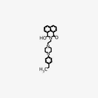 CCc1ccc(N2CCN(CCN3C(=O)c4cccc5cccc(c45)C3O)CC2)cc1